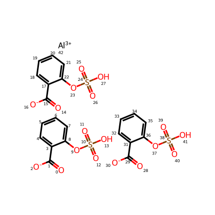 O=C([O-])c1ccccc1OS(=O)(=O)O.O=C([O-])c1ccccc1OS(=O)(=O)O.O=C([O-])c1ccccc1OS(=O)(=O)O.[Al+3]